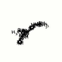 CC(=O)c1cc(NC(=O)OCc2ccccc2)c(=O)n2c1CC[C@H]2C(=O)NCc1ccc(C=NNC(=O)OC(C)(C)C)cc1